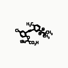 Cc1ccc(S(=O)(=O)N(C)C)cc1C#Cc1cc(Cl)ccc1OC(C(=O)O)C(C)(C)C